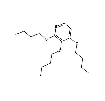 CCCCOc1bccc(OCCCC)c1OCCCC